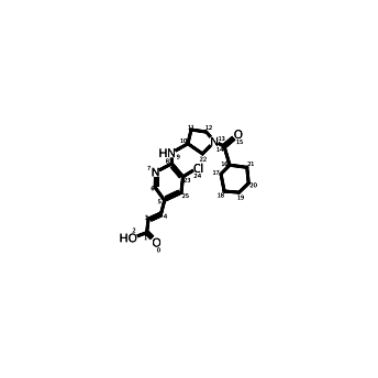 O=C(O)C=Cc1cnc(NC2CCN(C(=O)C3CCCCC3)C2)c(Cl)c1